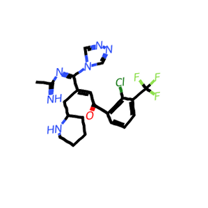 CC(=N)/N=C(\C(=C\C(=O)c1cccc(C(F)(F)F)c1Cl)CC1CCCCN1)n1cnnc1